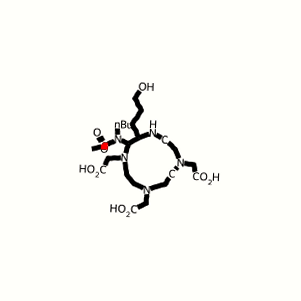 CCCCN(C1C(CCCO)NCCN(CC(=O)O)CCN(CC(=O)O)CCN1CC(=O)O)S(C)(=O)=O